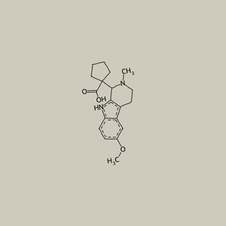 COc1ccc2[nH]c3c(c2c1)CCN(C)C3C1(C(=O)O)CCCC1